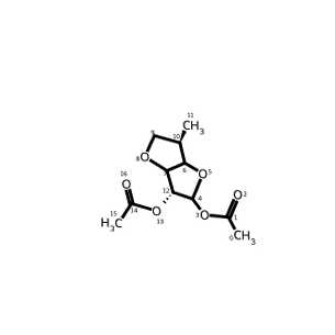 CC(=O)OC1OC2C(OC[C@H]2C)[C@H]1OC(C)=O